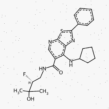 CC(C)(O)[C@H](F)CNC(=O)c1cnc2sc(-c3ccccc3)nc2c1NC1CCCC1